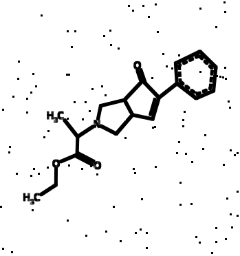 CCOC(=O)C(C)N1CC2C=C(c3ccccc3)C(=O)C2C1